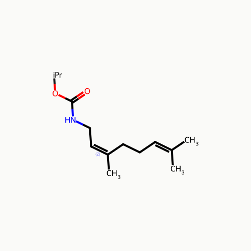 CC(C)=CCC/C(C)=C\CNC(=O)OC(C)C